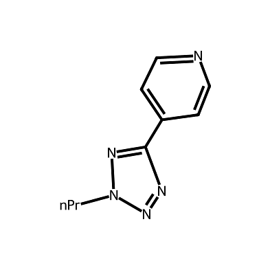 [CH2]CCn1nnc(-c2ccncc2)n1